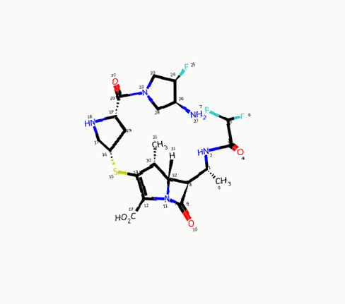 C[C@@H](NC(=O)C(F)F)[C@H]1C(=O)N2C(C(=O)O)=C(S[C@@H]3CN[C@H](C(=O)N4C[C@@H](F)[C@@H](N)C4)C3)[C@H](C)[C@H]12